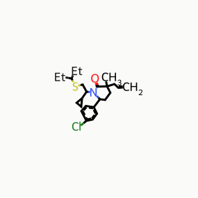 C=CCC1(C)CCC(c2ccc(Cl)cc2)N(C(CSC(CC)CC)C2CC2)C1=O